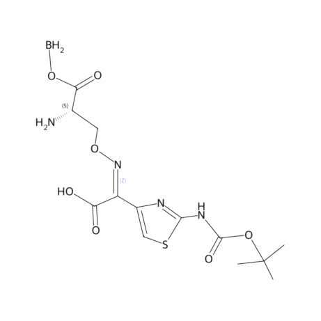 BOC(=O)[C@@H](N)CO/N=C(\C(=O)O)c1csc(NC(=O)OC(C)(C)C)n1